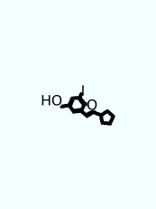 OCc1cc(I)c2oc(C3CCCC3)cc2c1